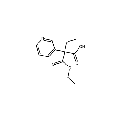 CCOC(=O)C(SC)(C(=O)O)c1cccnc1